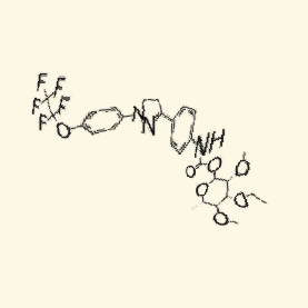 CCO[C@@H]1[C@@H](OC)[C@H](C)O[C@@H](OC(=O)Nc2ccc(C3=NN(c4ccc(OC(F)(F)C(F)(F)F)cc4)CC3)cc2)[C@@H]1OC